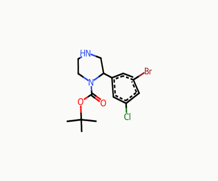 CC(C)(C)OC(=O)N1CCNCC1c1cc(Cl)cc(Br)c1